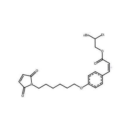 CCCCC(CC)COC(=O)/C=C\c1ccc(OCCCCCCN2C(=O)C=CC2=O)cc1